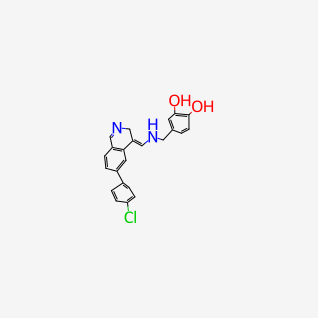 Oc1ccc(CNC=C2CN=Cc3ccc(-c4ccc(Cl)cc4)cc32)cc1O